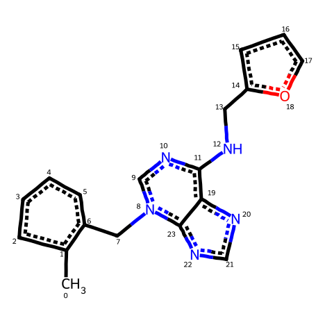 Cc1ccccc1Cn1cnc(NCc2ccco2)c2ncnc1-2